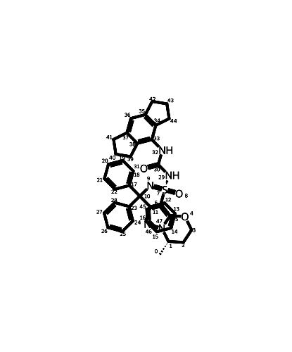 C[C@H]1CCOc2c([S@](=O)(=NC(c3ccccc3)(c3ccccc3)c3ccccc3)NC(=O)Nc3c4c(cc5c3CCC5)CCC4)cnn21